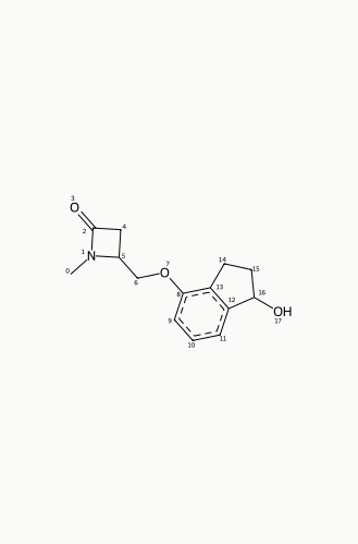 CN1C(=O)CC1COc1cccc2c1CCC2O